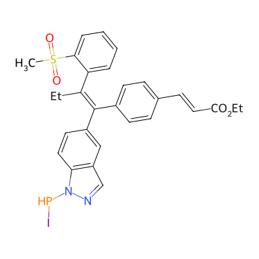 CCOC(=O)/C=C/c1ccc(/C(=C(/CC)c2ccccc2S(C)(=O)=O)c2ccc3c(cnn3PI)c2)cc1